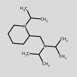 CC(C)N(CC1CCCCN1C(C)C)C(C)C